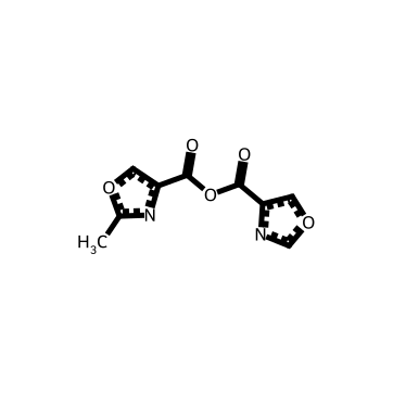 Cc1nc(C(=O)OC(=O)c2cocn2)co1